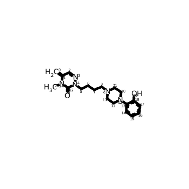 C=C1C=NN(CCCCN2CCN(c3ccccc3O)CC2)C(=O)N1C